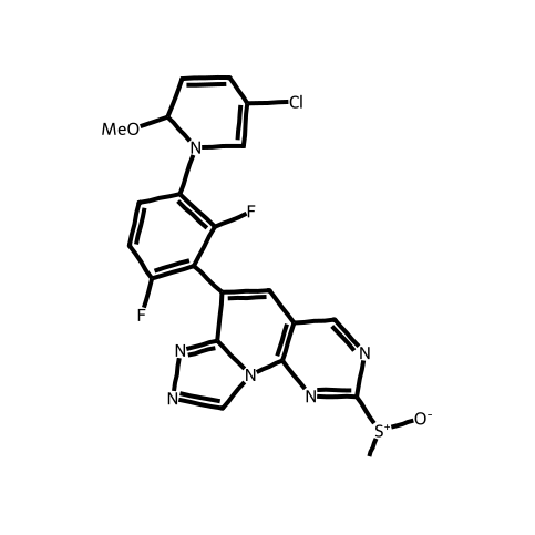 COC1C=CC(Cl)=CN1c1ccc(F)c(-c2cc3cnc([S+](C)[O-])nc3n3cnnc23)c1F